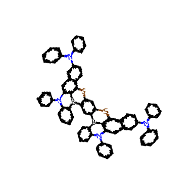 c1ccc(N(c2ccccc2)c2ccc3c4c5c(cc3c2)N(c2ccccc2)c2ccccc2B5c2cc3c(cc2S4)Sc2c4c(cc5cc(N(c6ccccc6)c6ccccc6)ccc25)N(c2ccccc2)c2ccccc2B34)cc1